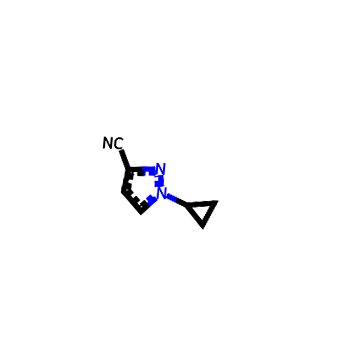 N#Cc1ccn(C2CC2)n1